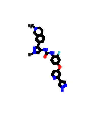 CC(C)n1cc(NC(=O)Nc2ccc(Oc3ccnc(-c4cn[nH]c4)c3)cc2F)c(-c2ccc3c(c2)CN(C)CC3)n1